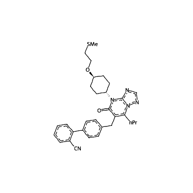 CCCc1c(Cc2ccc(-c3ccccc3C#N)cc2)c(=O)n([C@H]2CC[C@H](OCCSC)CC2)c2ncnn12